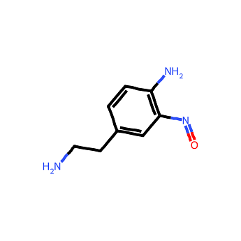 NCCc1ccc(N)c(N=O)c1